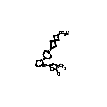 Cn1cc([C@H]2CCCN2C2CCN(C3CC4(C3)CN(C(=O)O)C4)CC2)oc1=O